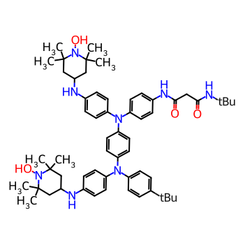 CC(C)(C)NC(=O)CC(=O)Nc1ccc(N(c2ccc(NC3CC(C)(C)N(O)C(C)(C)C3)cc2)c2ccc(N(c3ccc(NC4CC(C)(C)N(O)C(C)(C)C4)cc3)c3ccc(C(C)(C)C)cc3)cc2)cc1